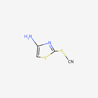 N#CSc1nc(N)cs1